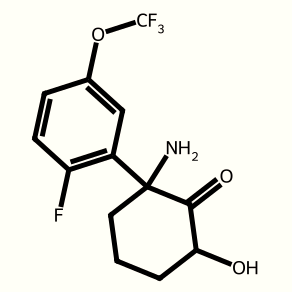 NC1(c2cc(OC(F)(F)F)ccc2F)CCCC(O)C1=O